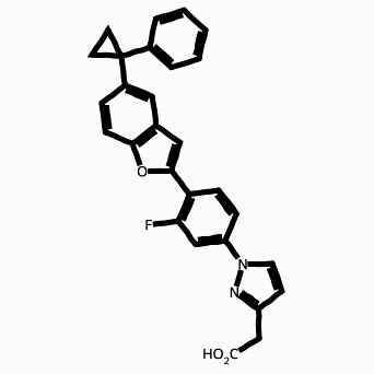 O=C(O)Cc1ccn(-c2ccc(-c3cc4cc(C5(c6ccccc6)CC5)ccc4o3)c(F)c2)n1